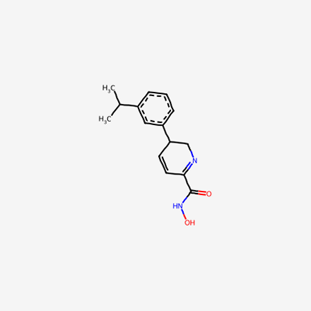 CC(C)c1cccc(C2C=CC(C(=O)NO)=NC2)c1